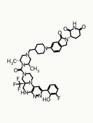 C[C@@H]1CN(CC2CCN(c3ccc4c(c3)C(=O)N([C@H]3CCC(=O)NC3=O)C4)CC2)C[C@@H](C)N1C(=O)N1CCN2c3cc(-c4cccc(F)c4O)nnc3NC[C@]2(C(F)(F)F)C1